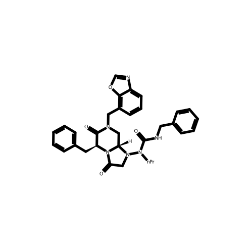 CCCN(C(=O)NCc1ccccc1)N1CC(=O)N2[C@@H](Cc3ccccc3)C(=O)N(Cc3cccc4ncoc34)C[C@@H]21